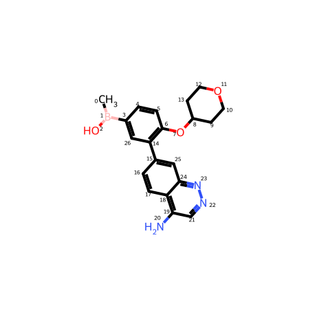 CB(O)c1ccc(OC2CCOCC2)c(-c2ccc3c(N)cnnc3c2)c1